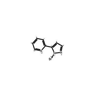 Brn1nccc1-c1ccccn1